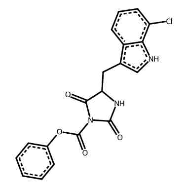 O=C1NC(Cc2c[nH]c3c(Cl)cccc23)C(=O)N1C(=O)Oc1ccccc1